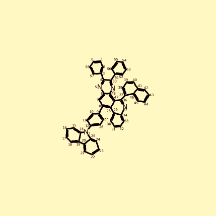 c1ccc(-c2nc3cc(-c4ccc(-n5c6ccccc6c6ccccc65)cc4)c4c5ccccc5nc(-c5cccc6ccccc56)c4c3nc2-c2ccccc2)cc1